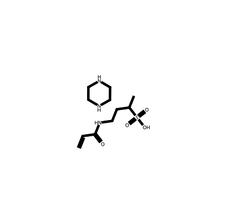 C1CNCCN1.C=CC(=O)NCCC(C)S(=O)(=O)O